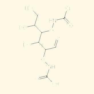 CC(=O)NOC(C=O)C(O)C(ONC(C)=O)C(O)CO